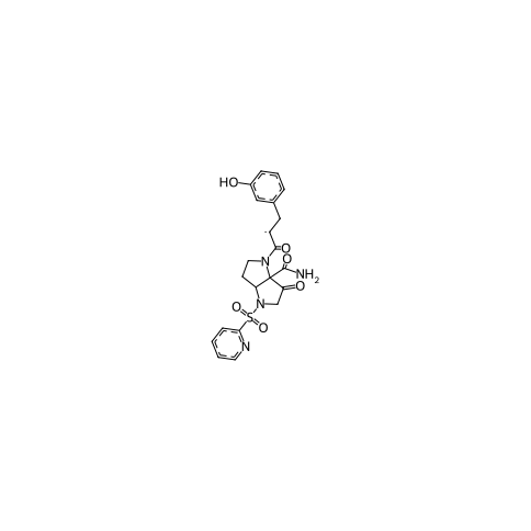 NC(=O)C12C(=O)CN(S(=O)(=O)c3ccccn3)C1CCN2C(=O)[CH]Cc1cccc(O)c1